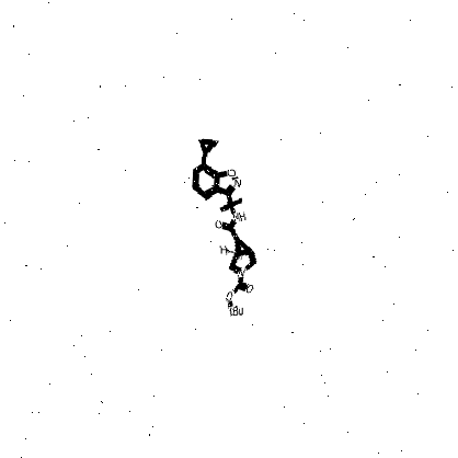 CC(C)(C)OC(=O)N1CC2C(C(=O)NC(C)(C)c3noc4c(C5CC5)cccc34)[C@@H]2C1